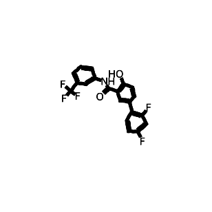 O=C(Nc1cccc(C(F)(F)F)c1)c1cc(-c2ccc(F)cc2F)ccc1O